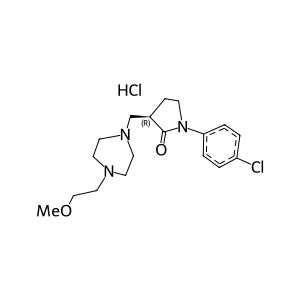 COCCN1CCN(C[C@H]2CCN(c3ccc(Cl)cc3)C2=O)CC1.Cl